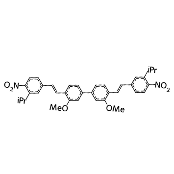 COc1cc(-c2ccc(C=Cc3ccc([N+](=O)[O-])c(C(C)C)c3)c(OC)c2)ccc1C=Cc1ccc([N+](=O)[O-])c(C(C)C)c1